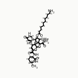 CO[C@H]1[C@@H](OC(=O)CCCCCCCCCCN)[C@H](N2C=CC(=O)NC2)O[C@@H]1[C@@H](OC1OC(C(=O)N[C@H]2CCC[C@@H](C)NC2=O)=C[C@H](O)[C@@H]1O)C(N)=O